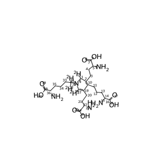 [2H]c1c(CC[C@H](N)C(=O)O)c(CCC[C@H](N)C(=O)O)c(CC[C@H](N)C(=O)O)c([2H])[n+]1C([2H])([2H])CCC[C@H](N)C(=O)O